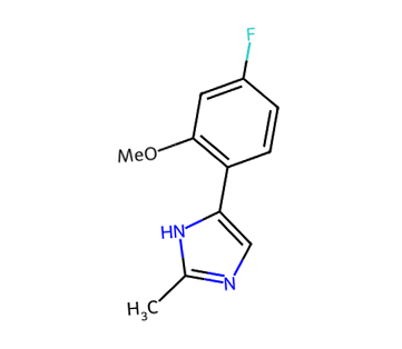 COc1cc(F)ccc1-c1cnc(C)[nH]1